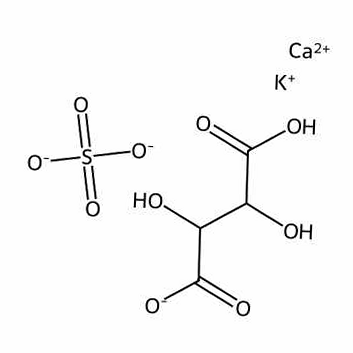 O=C([O-])C(O)C(O)C(=O)O.O=S(=O)([O-])[O-].[Ca+2].[K+]